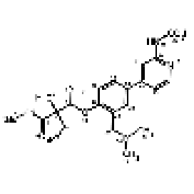 CC(C)CC(C)(C(=O)OC(C)(C)C)C(N)Oc1ccc(-c2ccnc(NC(=O)O)c2)cc1CN(C)C